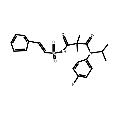 CC(C)N(C(=O)C(C)(C)C(=O)NS(=O)(=O)/C=C/c1ccccc1)c1ccc(F)cc1